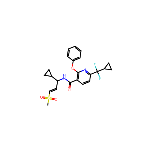 CS(=O)(=O)C=CC(NC(=O)c1ccc(C(F)(F)C2CC2)nc1Oc1ccccc1)C1CC1